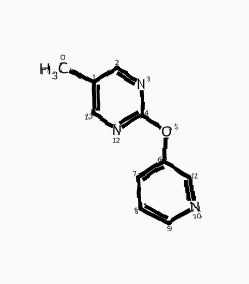 Cc1cnc(Oc2cccnc2)nc1